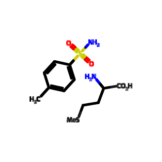 CSCCC(N)C(=O)O.Cc1ccc(S(N)(=O)=O)cc1